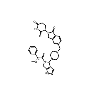 CO[C@@H](C(=O)N1Cc2[nH]n[c]c2C1N1CCN(Cc2ccc3c(c2)CN(C2CCC(=O)NC2=O)C3=O)CC1)c1ccccc1